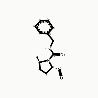 C[C@@H]1CC[C@@H](C=O)N1C(=O)OCc1ccccc1